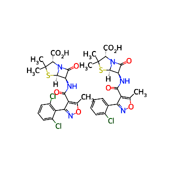 Cc1onc(-c2c(Cl)cccc2Cl)c1C(=O)N[C@@H]1C(=O)N2[C@@H]1SC(C)(C)[C@@H]2C(=O)O.Cc1onc(-c2ccccc2Cl)c1C(=O)N[C@@H]1C(=O)N2[C@@H]1SC(C)(C)[C@@H]2C(=O)O